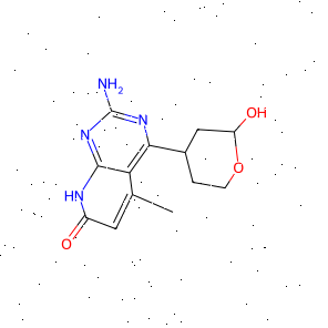 Cc1cc(=O)[nH]c2nc(N)nc(C3CCOC(O)C3)c12